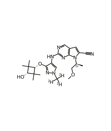 [2H]C([2H])([2H])n1cc(Nc2ncc3cc(C#N)n([C@@H](C)COC)c3n2)c(O[C@H]2C(C)(C)[C@@H](O)C2(C)C)n1